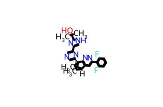 CC(C)(O)c1nc(-c2cncc([C@@]34CC[C@@H](c5cc(-c6c(F)cccc6F)nnc53)C4(C)C)n2)c[nH]1